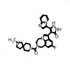 CN1CCC2(CCN(C(=O)N3CCn4cc(-c5c(-c6cnc7ccccn67)[nH][nH]c5=O)c5cc(F)cc(c54)C3)CC2)C1